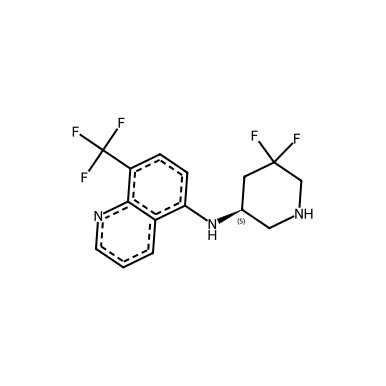 FC1(F)CNC[C@@H](Nc2ccc(C(F)(F)F)c3ncccc23)C1